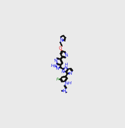 CN(C)CCNc1cc(F)cc(-c2nccc3[nH]c(-c4n[nH]c5ncc(-c6cncc(OCCN7CCCC7)c6)cc45)nc23)c1